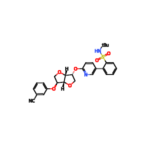 CC(C)(C)NS(=O)(=O)c1ccccc1-c1ccc(O[C@@H]2CO[C@H]3[C@@H]2OC[C@@H]3Oc2cccc(C#N)c2)nc1